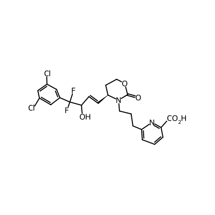 O=C(O)c1cccc(CCCN2C(=O)OCC[C@@H]2C=CC(O)C(F)(F)c2cc(Cl)cc(Cl)c2)n1